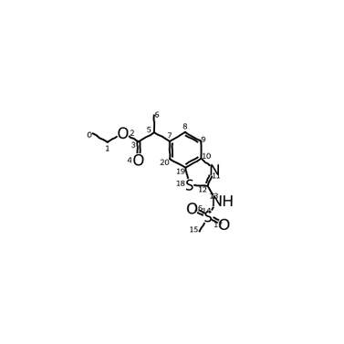 CCOC(=O)C(C)c1ccc2nc(NS(C)(=O)=O)sc2c1